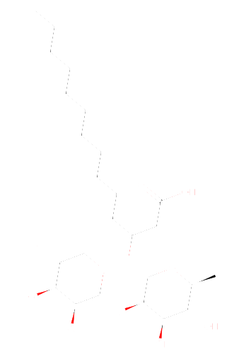 CCCCCCCCCCCC(CC(=O)O)O[C@@H]1O[C@@H](C)[C@H](O)[C@@H](O)[C@H]1O[C@H]1O[C@@H](C)[C@@H](O)[C@H](O)[C@@H]1O